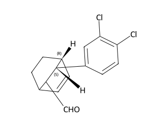 O=CC1C2C=C[C@@H](CC2)[C@@H]1c1ccc(Cl)c(Cl)c1